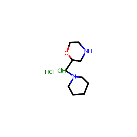 C1CCN(CC2CNCCO2)CC1.Cl.Cl